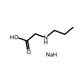 CCCNCC(=O)O.[NaH]